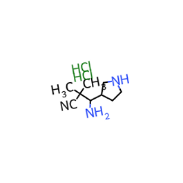 CC(C)(C#N)C(N)C1CCNC1.Cl.Cl